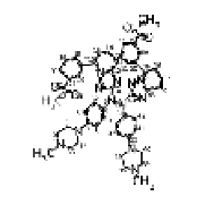 CN1CCN(c2ccc(N(c3nc4cccc(-c5cccc(S(C)(=O)=O)c5)n4n3)N(c3ccc(N4CCN(C)CC4)cc3)c3nc4cccc(-c5cccc(S(C)(=O)=O)c5)n4n3)cc2)CC1